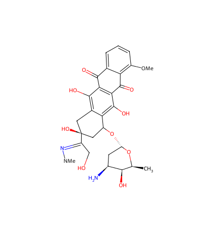 CN/N=C(\CO)[C@]1(O)Cc2c(O)c3c(c(O)c2C(O[C@H]2C[C@H](N)[C@H](O)[C@H](C)O2)C1)C(=O)c1c(OC)cccc1C3=O